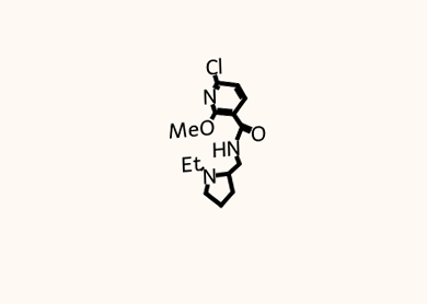 CCN1CCCC1CNC(=O)c1ccc(Cl)nc1OC